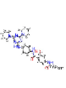 CCCCCC(=O)Nc1ccc(C(=O)Nc2ccc(Nc3nc(N4CCCCC4)nc(N4CCCCC4)n3)cc2)c(O)c1